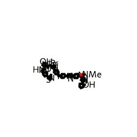 CNc1nn(C2CCN(c3ccc(C4CCN(CC5CCN(c6cc([C@H](C(=O)N7C[C@H](O)C[C@H]7C(=O)N[C@@H](C)c7ccc(-c8scnc8C)cc7)C(C)C)on6)CC5)CC4)cn3)CC2)c2cc(-c3ccccc3O)nnc12